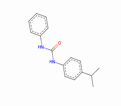 CC(C)c1ccc(NC(=O)Nc2ccccc2)cc1